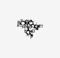 CCn1cc(-c2cccc(C(NC(=O)c3nccc(CF)c3Cl)C3(O)CCC(F)(F)CC3)c2)cn1